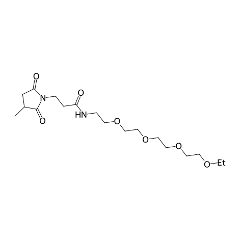 CCOCCOCCOCCOCCNC(=O)CCN1C(=O)CC(C)C1=O